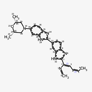 C=N/C(=C\C=C/C)c1nc2ccc(-c3nc4ccc(N5C[C@@H](C)O[C@@H](C)C5)cc4[nH]3)cc2[nH]1